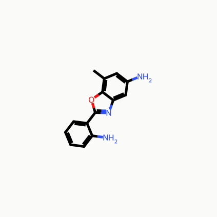 Cc1cc(N)cc2nc(-c3ccccc3N)oc12